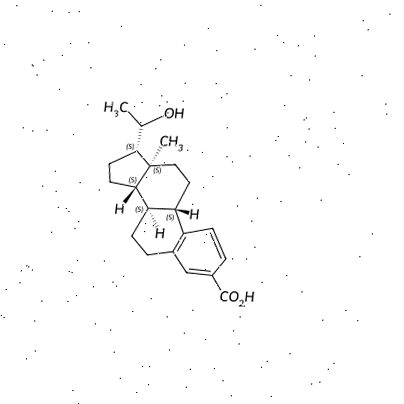 CC(O)[C@H]1CC[C@H]2[C@@H]3CCc4cc(C(=O)O)ccc4[C@H]3CC[C@]12C